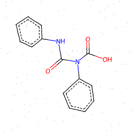 O=C(O)N(C(=O)Nc1ccccc1)c1ccccc1